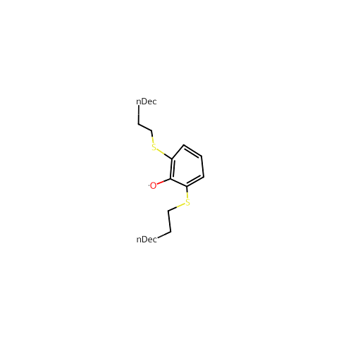 CCCCCCCCCCCCSc1cccc(SCCCCCCCCCCCC)c1[O]